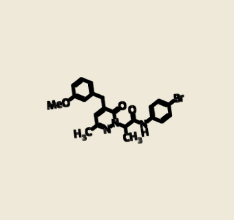 COc1cccc(Cc2cc(C)nn(C(C)C(=O)Nc3ccc(Br)cc3)c2=O)c1